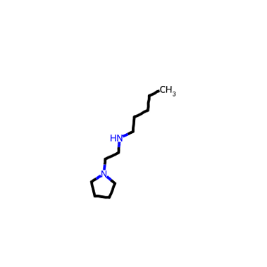 CCCCCNCCN1CCCC1